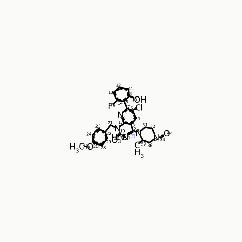 C/N=C(\c1cc(Cl)c(-c2c(O)cccc2F)nc1N(C=O)Cc1ccc(OC)cc1)N1CCN(C=O)CC1C